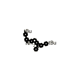 CC(C)(C)c1ccc(-c2ccc(N)c(-c3ccc4c(c3)CCc3cc5c6cc(-c7ccc(C(C)(C)C)cc7)ccc6n(-c6ccccc6)c5cc3-4)c2)cc1